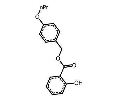 CCCOc1ccc(COC(=O)c2ccccc2O)cc1